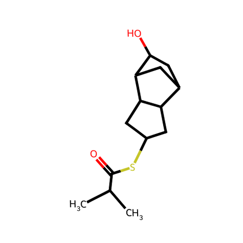 CC(C)C(=O)SC1CC2C3CC(O)C(C3)C2C1